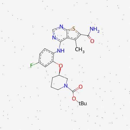 Cc1c(C(N)=O)sc2ncnc(Nc3ccc(F)cc3O[C@@H]3CCCN(C(=O)OC(C)(C)C)C3)c12